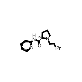 CC(C)CCN1CCC[C@H]1C(=O)Nc1ccccn1